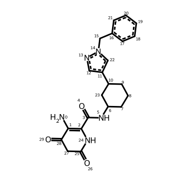 NC1=C(C(=O)NC2CCCC(c3cnn(Cc4ccccc4)c3)C2)NC(=O)CC1=O